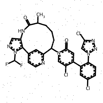 CC1CCCC(n2cc(Cl)c(-c3cc(Cl)ccc3-n3cc(Cl)nn3)cc2=O)c2cc(ccn2)-c2c(cnn2C(F)F)NC1=O